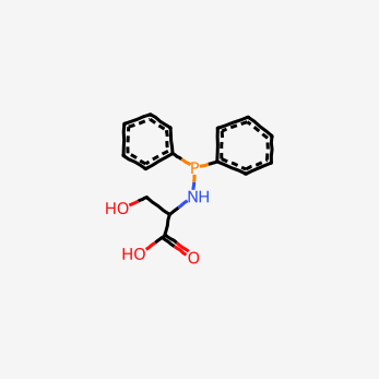 O=C(O)C(CO)NP(c1ccccc1)c1ccccc1